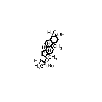 CC1(O)CC[C@@]2(C)C(CC[C@@H]3[C@@H]2CC[C@]2(C)C(O[Si](C)(C)C(C)(C)C)CC[C@@H]32)C1